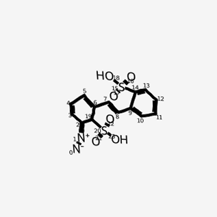 [N-]=[N+]=C1C=CC=C(C=Cc2ccccc2S(=O)(=O)O)C1S(=O)(=O)O